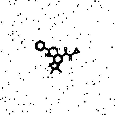 Cc1nc2c3c(c(C(=O)NC4CC4)cn2c1C)CCC(c1ccccc1)N3